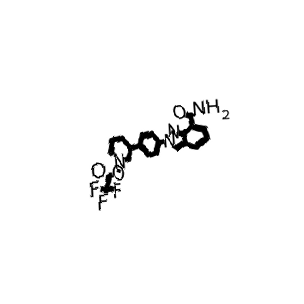 NC(=O)c1cccc2cn(-c3ccc(C4CCCN(OC(=O)C(F)(F)F)C4)cc3)nc12